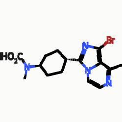 Cc1nccn2c1c(Br)nc2[C@H]1CC[C@H](N(C)C(=O)O)CC1